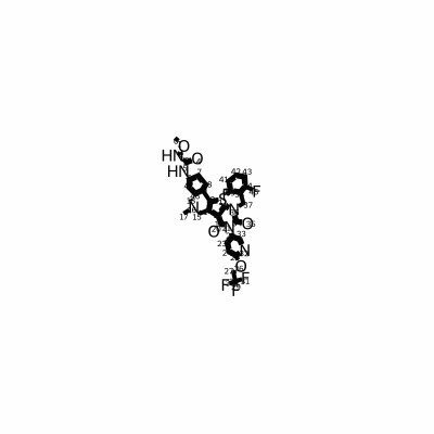 CONC(=O)Nc1ccc(-c2sc3c(c2CN(C)C)c(=O)n(-c2ccc(OCC(F)(F)F)nc2)c(=O)n3Cc2c(F)cccc2F)cc1